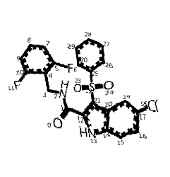 O=C(NCc1c(F)cccc1F)c1[nH]c2ccc(Cl)cc2c1S(=O)(=O)c1ccccc1